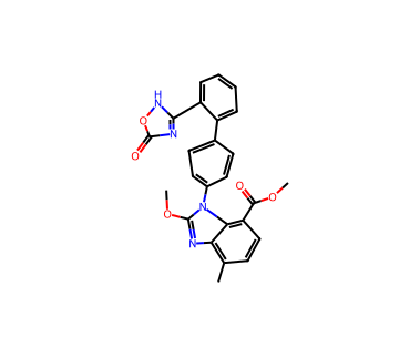 COC(=O)c1ccc(C)c2nc(OC)n(-c3ccc(-c4ccccc4-c4nc(=O)o[nH]4)cc3)c12